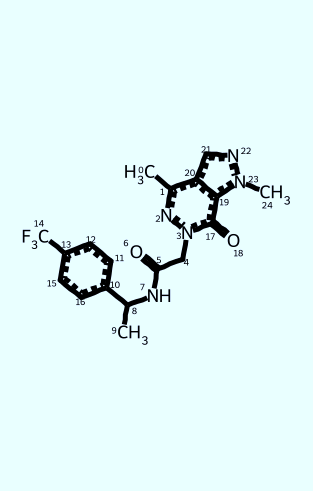 Cc1nn(CC(=O)NC(C)c2ccc(C(F)(F)F)cc2)c(=O)c2c1cnn2C